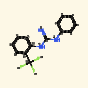 N=C(Nc1ccccc1)Nc1ccccc1C(F)(F)F